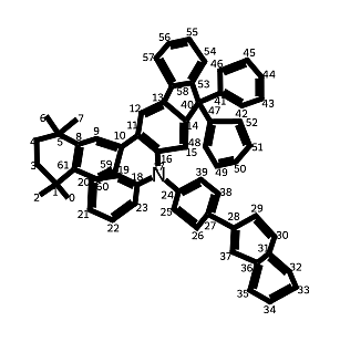 CC1(C)CCC(C)(C)c2cc(-c3cc4c(cc3N(c3ccccc3)c3ccc(-c5ccc6ccccc6c5)cc3)C(c3ccccc3)(c3ccccc3)c3ccccc3-4)ccc21